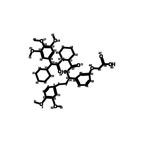 COc1ccc(CC[C@@H](NC(=O)C2CCCCN2C(=O)C(c2cc(OC)c(OC)c(OC)c2)C2CCCCC2)c2cccc(OCC(=O)O)c2)cc1OC